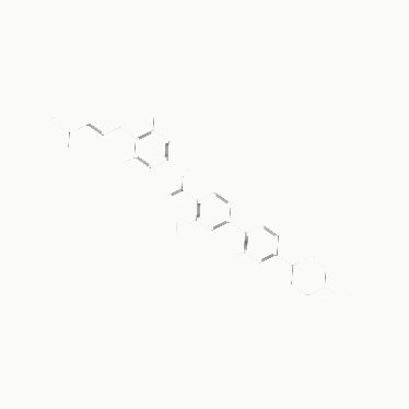 CCCC1CCC(c2ccc(-c3ccc(C(=O)Oc4cc(F)c(C/C=C/C(F)F)c(F)c4)c(F)c3)c(F)c2)OC1